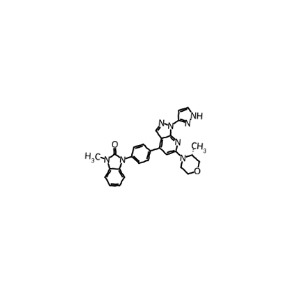 C[C@@H]1COCCN1c1cc(-c2ccc(-n3c(=O)n(C)c4ccccc43)cc2)c2cnn(-c3cc[nH]n3)c2n1